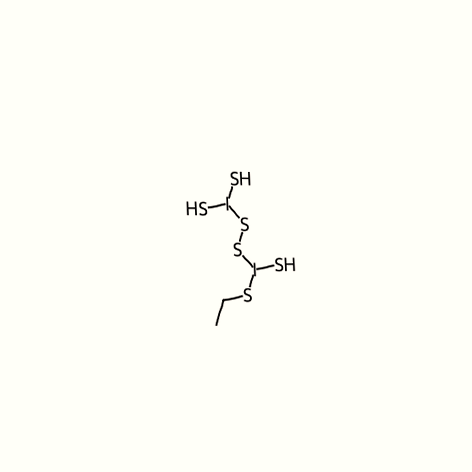 CCSI(S)SSI(S)S